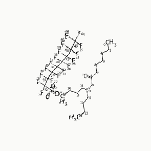 CCCCCCC(=O)C[S+](CCCC)CCCC.O=S(=O)([O-])C(F)(F)C(F)(F)C(F)(F)C(F)(F)C(F)(F)C(F)(F)C(F)(F)C(F)(F)F